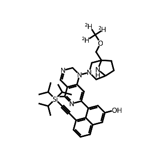 [2H]C([2H])([2H])OCC12CCC(CN(N3CN=Cc4c3cc(-c3cc(O)cc5cccc(C#C[Si](C(C)C)(C(C)C)C(C)C)c35)nc4C)C1)N2